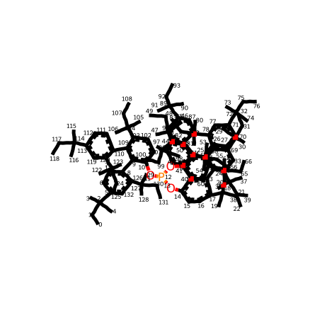 CCC(C)(C)c1ccc(-c2c(OP(Oc3ccc(C(C)(C)CC)c(-c4ccc(C(C)(C)CC)cc4C(C)(C)CC)c3-c3ccc(C(C)(C)CC)cc3C(C)(C)CC)Oc3ccc(C(C)(C)CC)c(-c4ccc(C(C)(C)CC)cc4C(C)(C)CC)c3-c3ccc(C(C)(C)CC)cc3C(C)(C)CC)ccc(C(C)(C)CC)c2-c2ccc(C(C)(C)CC)cc2C(C)(C)CC)c(C(C)(C)CC)c1